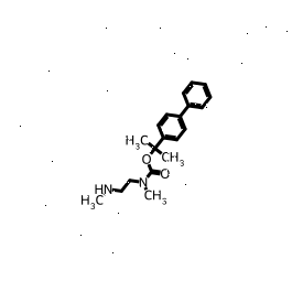 CNCCN(C)C(=O)OC(C)(C)c1ccc(-c2ccccc2)cc1